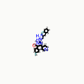 Cn1c(NC[C@@H](N)Cc2ccccc2F)nc(-c2ccncc2)c(-c2ccc(F)cc2)c1=O